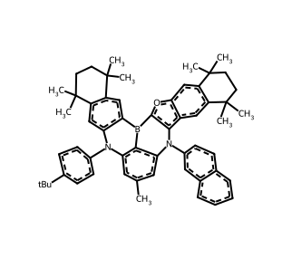 Cc1cc2c3c(c1)N(c1ccc4ccccc4c1)c1c(oc4cc5c(cc14)C(C)(C)CCC5(C)C)B3c1cc3c(cc1N2c1ccc(C(C)(C)C)cc1)C(C)(C)CCC3(C)C